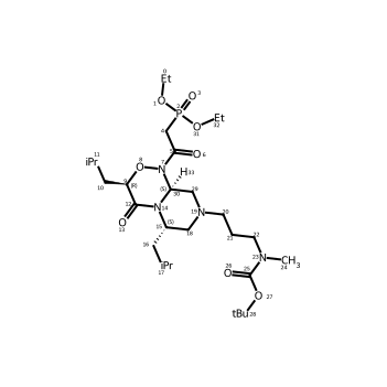 CCOP(=O)(CC(=O)N1O[C@H](CC(C)C)C(=O)N2[C@@H](CC(C)C)CN(CCCN(C)C(=O)OC(C)(C)C)C[C@H]12)OCC